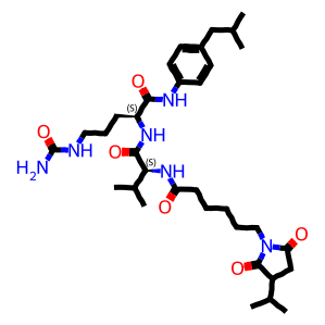 CC(C)Cc1ccc(NC(=O)[C@H](CCCNC(N)=O)NC(=O)[C@@H](NC(=O)CCCCCN2C(=O)CC(C(C)C)C2=O)C(C)C)cc1